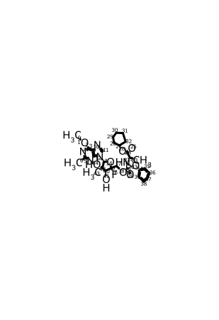 CCOc1nc(C)nc2c1ncn2[C@@H]1O[C@](F)(COP(=O)(NC(C)C(=O)OC2CCCCC2)Oc2ccccc2)[C@@H](O)[C@@]1(C)O